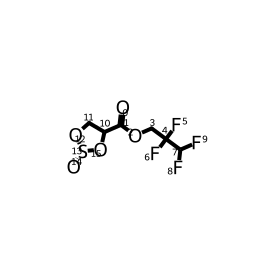 O=C(OCC(F)(F)C(F)F)C1COS(=O)O1